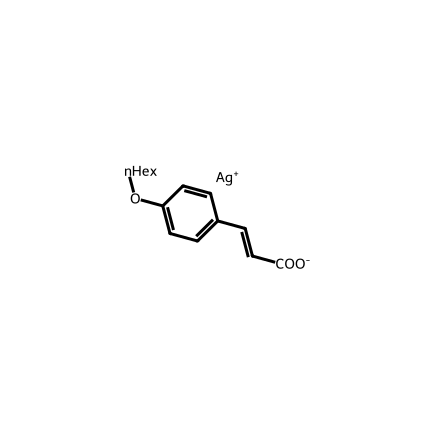 CCCCCCOc1ccc(C=CC(=O)[O-])cc1.[Ag+]